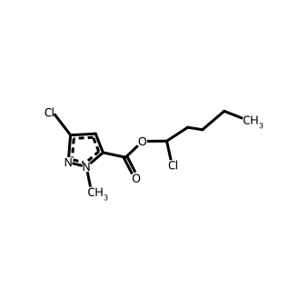 CCCCC(Cl)OC(=O)c1cc(Cl)nn1C